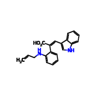 C=CCNc1ccccc1/C(=C\c1c[nH]c2ccccc12)C(=O)O